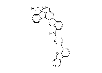 CC1(C)c2ccccc2-c2c1ccc1c2sc2c(Nc3ccc(-c4cccc5c4sc4ccccc45)cc3)cccc21